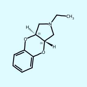 CCN1C[C@@H]2Oc3ccccc3O[C@H]2C1